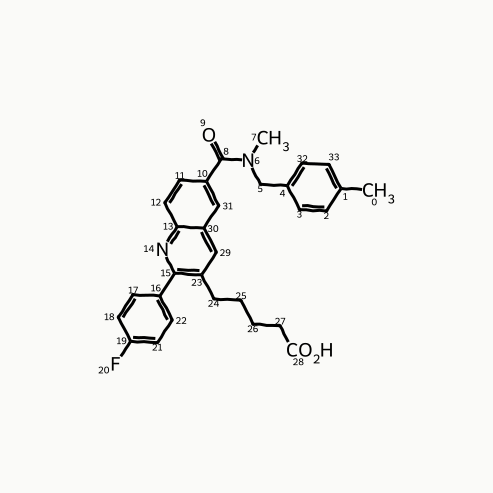 Cc1ccc(CN(C)C(=O)c2ccc3nc(-c4ccc(F)cc4)c(CCCCC(=O)O)cc3c2)cc1